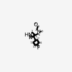 CN(CC=O)Cc1c[nH]nc1-c1ccc(F)cc1